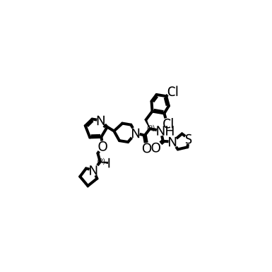 O=C(N[C@H](Cc1ccc(Cl)cc1Cl)C(=O)N1CCC(c2ncccc2OC[C@@H](I)N2CCCC2)CC1)N1CCSC1